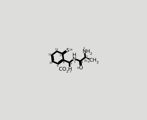 C[C@H](N)C(=O)NC(C(=O)O)C1=CC=CCC1=S